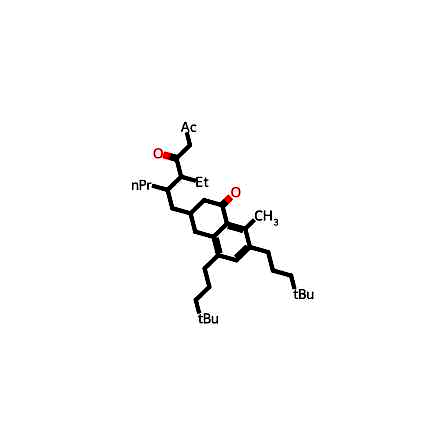 CCCC(CC1CC(=O)c2c(C)c(CCCC(C)(C)C)cc(CCCC(C)(C)C)c2C1)C(CC)C(=O)CC(C)=O